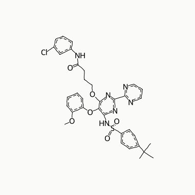 COc1ccccc1Oc1c(NS(=O)(=O)c2ccc(C(C)(C)C)cc2)nc(-c2ncccn2)nc1OCCCC(=O)Nc1cccc(Cl)c1